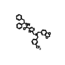 O=C(NC(Cc1ccccc1)c1ccccc1)c1csc(CN(Cc2cccc(C(F)(F)F)c2)Cc2ccc3c(c2)OCO3)n1